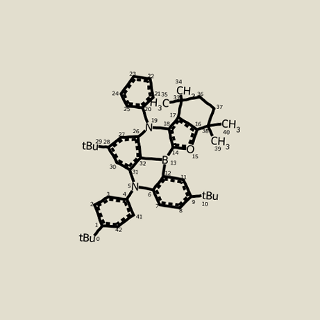 CC(C)(C)c1ccc(N2c3ccc(C(C)(C)C)cc3B3c4oc5c(c4N(c4ccccc4)c4cc(C(C)(C)C)cc2c43)C(C)(C)CCC5(C)C)cc1